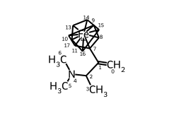 C=C(C(C)N(C)C)[C]12[CH]3[CH]4[CH]5[CH]1[Fe]45321678[CH]2[CH]1[CH]6[CH]7[CH]28